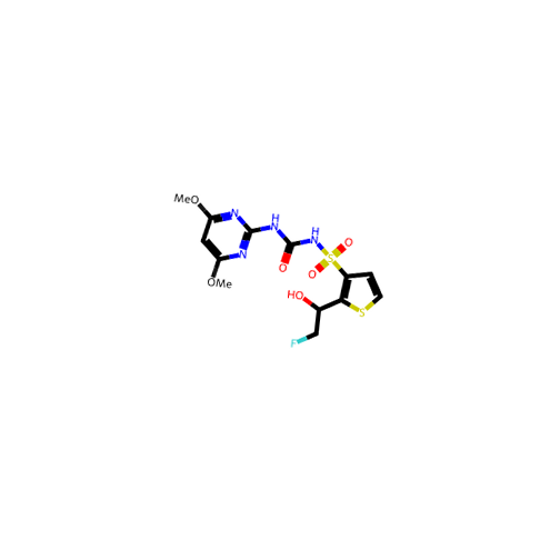 COc1cc(OC)nc(NC(=O)NS(=O)(=O)c2ccsc2C(O)CF)n1